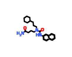 NC(=O)CCCN(CCCC1CCCCC1)C(=O)Nc1ccc2ccccc2c1